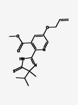 C=CCOc1cnc(C2=NC(C)(C(C)C)C(=S)N2)c(C(=O)OC)c1